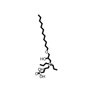 CCCCCCCCCCCCOCC(O)C[N+](CCC)(CCC)CCCP(=O)(O)O